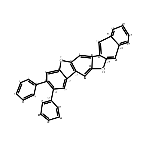 c1ccc(-c2cc3oc4cc5c(cc4c3cc2-c2ccccc2)oc2cc3ccccc3cc25)cc1